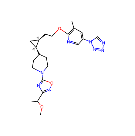 COC(C)c1noc(N2CCC([C@H]3C[C@H]3CCOc3ncc(-n4cnnn4)cc3C)CC2)n1